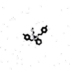 COC/N=c1\n(CCc2ccc(C)cc2)c2c(n1Cc1ccc(C)cc1)=CCCC=2